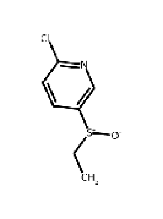 CC[S+]([O-])c1ccc(Cl)nc1